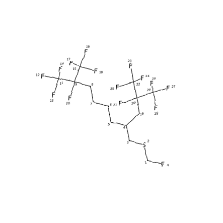 FCSCC(CCCCC(F)(C(F)(F)F)C(F)(F)F)CC(F)(C(F)(F)F)C(F)(F)F